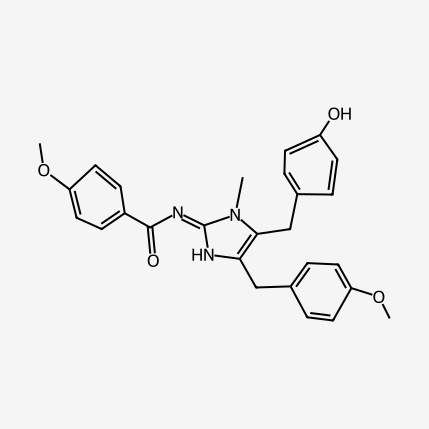 COc1ccc(Cc2[nH]/c(=N\C(=O)c3ccc(OC)cc3)n(C)c2Cc2ccc(O)cc2)cc1